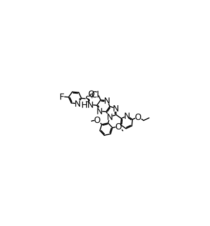 CCOc1cccc(-c2nc3nc(Cl)c(N[S+]([O-])c4ccc(F)cn4)nc3n2-c2c(OC)cccc2OC)n1